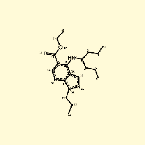 CCCC(CCC)Nc1c(C(=O)OCC)cnc2c1cnn2CCC